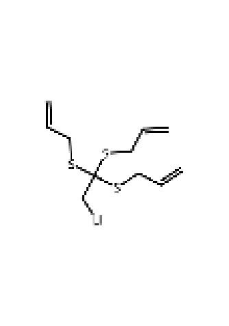 [Li][CH2]C(SCC=C)(SCC=C)SCC=C